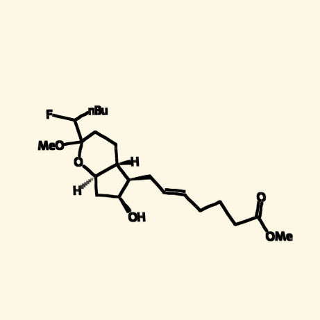 CCCCC(F)C1(OC)CC[C@@H]2[C@@H](CC=CCCCC(=O)OC)[C@@H](O)C[C@H]2O1